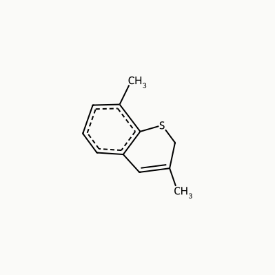 CC1=Cc2cccc(C)c2SC1